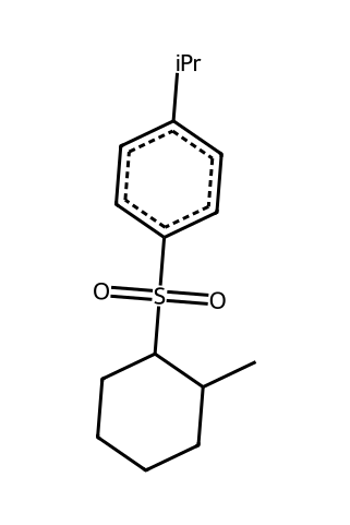 CC(C)c1ccc(S(=O)(=O)C2CCCCC2C)cc1